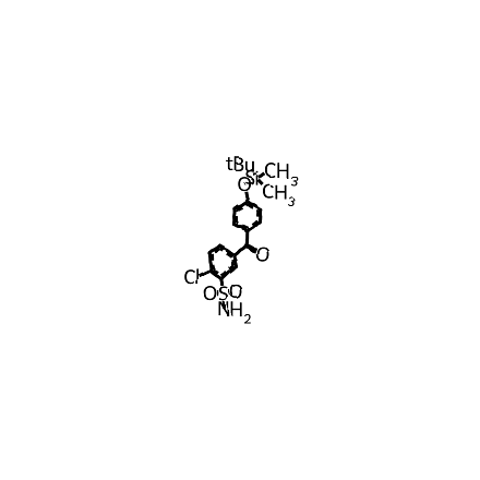 CC(C)(C)[Si](C)(C)Oc1ccc(C(=O)c2ccc(Cl)c(S(N)(=O)=O)c2)cc1